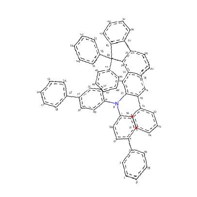 c1ccc(-c2ccc(N(c3ccc(-c4ccccc4)cc3)c3cc4c5c(ccc4cc3-c3ccccc3)-c3ccccc3C5(c3ccccc3)c3ccccc3)cc2)cc1